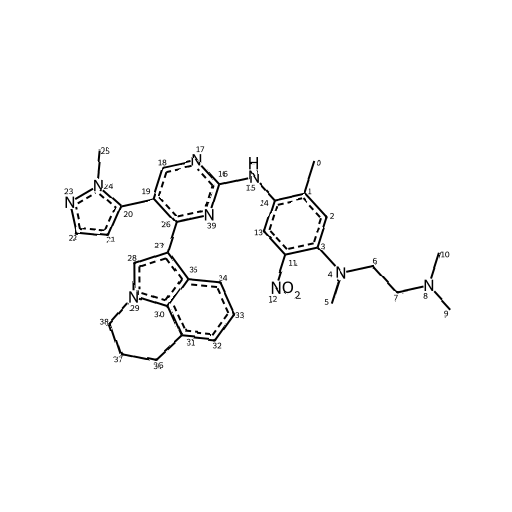 Cc1cc(N(C)CCN(C)C)c([N+](=O)[O-])cc1Nc1ncc(-c2ccnn2C)c(-c2cn3c4c(cccc24)CCC3)n1